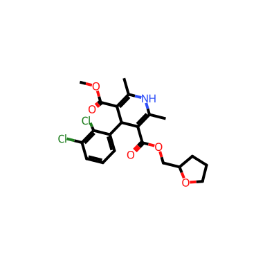 COC(=O)C1=C(C)NC(C)=C(C(=O)OCC2CCCO2)C1c1cccc(Cl)c1Cl